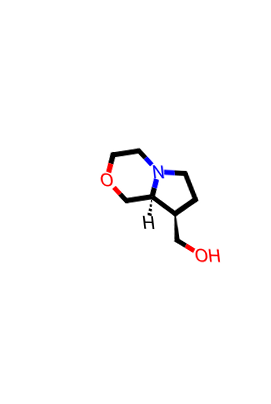 OC[C@@H]1CCN2CCOC[C@H]12